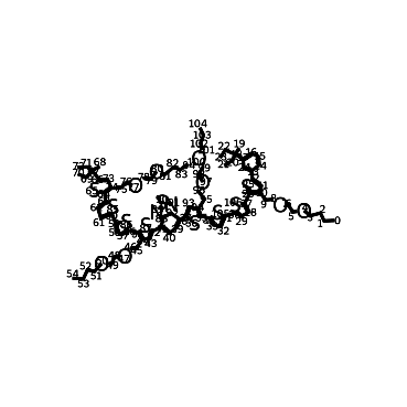 CCCCOCCOCCc1cc(-c2cccc(C(C)(CC)CC)c2)sc1-c1ccc(-c2ccc(-c3sc(-c4ccc(-c5cc(CCOCCOCCCC)c(-c6ccc(-c7ccc(-c8sc(C(C)(CC)CC)cc8CCOCCOCCCC)s7)s6)s5)c5nsnc45)cc3CCOCCOCCCC)s2)s1